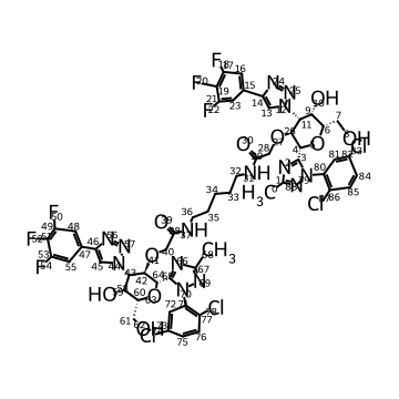 Cc1nc([C@H]2O[C@@H](CO)[C@@H](O)[C@@H](n3cc(-c4cc(F)c(F)c(F)c4)nn3)[C@@H]2OCC(=O)NCCCCCNC(=O)CO[C@@H]2[C@@H](n3cc(-c4cc(F)c(F)c(F)c4)nn3)[C@@H](O)[C@@H](CO)O[C@H]2c2nc(C)nn2-c2cc(Cl)ccc2Cl)n(-c2cc(Cl)ccc2Cl)n1